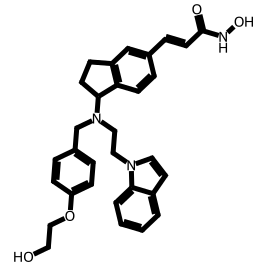 O=C(C=Cc1ccc2c(c1)CCC2N(CCn1ccc2ccccc21)Cc1ccc(OCCO)cc1)NO